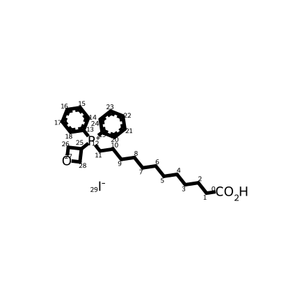 O=C(O)CCCCCCCCCCC[P+](c1ccccc1)(c1ccccc1)C1COC1.[I-]